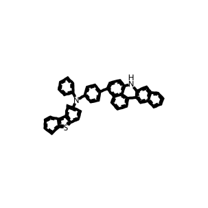 c1ccc(N(c2ccc(-c3ccc4c5c(cccc35)-c3cc5ccccc5cc3N4)cc2)c2ccc3sc4ccccc4c3c2)cc1